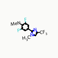 CNc1c(F)cc(-c2nc(C(F)(F)F)cn2C)cc1F